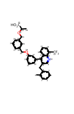 Cc1ccccc1Cc1cnc2c(C(F)(F)F)cccc2c1-c1cccc(OCc2cccc(COC(C)C(=O)O)c2)c1